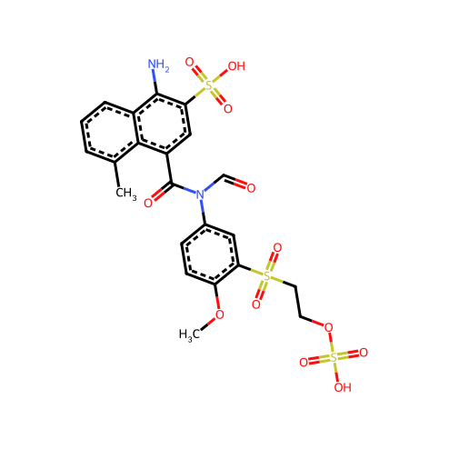 COc1ccc(N(C=O)C(=O)c2cc(S(=O)(=O)O)c(N)c3cccc(C)c23)cc1S(=O)(=O)CCOS(=O)(=O)O